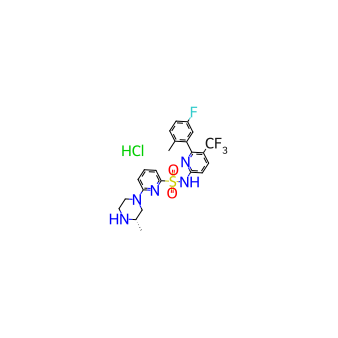 Cc1ccc(F)cc1-c1nc(NS(=O)(=O)c2cccc(N3CCN[C@@H](C)C3)n2)ccc1C(F)(F)F.Cl